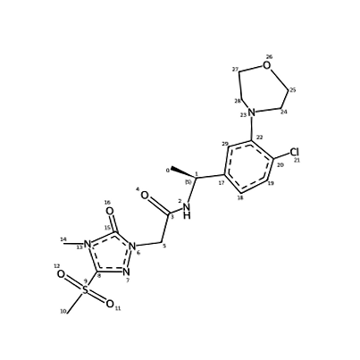 C[C@H](NC(=O)Cn1nc(S(C)(=O)=O)n(C)c1=O)c1ccc(Cl)c(N2CCOCC2)c1